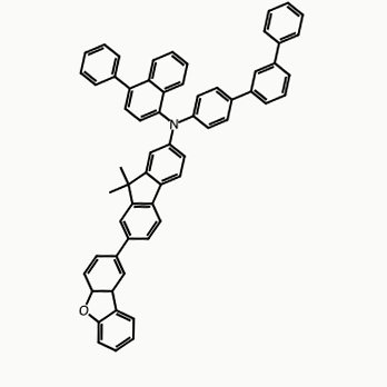 CC1(C)c2cc(C3=CC4c5ccccc5OC4C=C3)ccc2-c2ccc(N(c3ccc(-c4cccc(-c5ccccc5)c4)cc3)c3ccc(-c4ccccc4)c4ccccc34)cc21